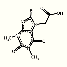 Cn1c(=O)c2c(nc(Br)n2CC(=O)O)n(C)c1=O